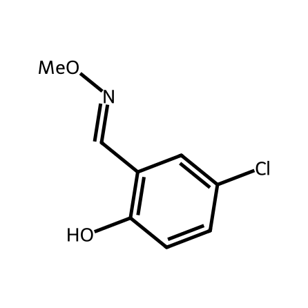 CON=Cc1cc(Cl)ccc1O